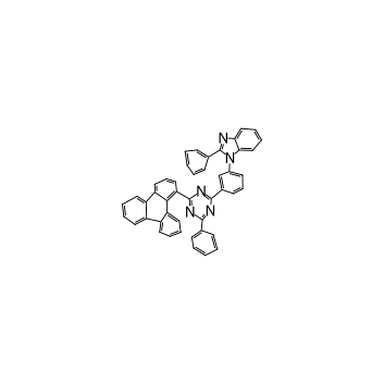 c1ccc(-c2nc(-c3cccc(-n4c(-c5ccccc5)nc5ccccc54)c3)nc(-c3cccc4c5ccccc5c5ccccc5c34)n2)cc1